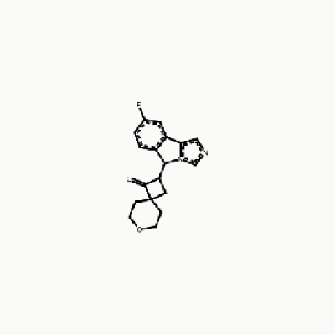 O=C1C(C2c3ccc(F)cc3-c3cncn32)CC12CCOCC2